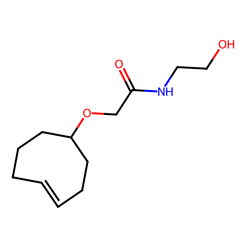 O=C(COC1CC/C=C/CCC1)NCCO